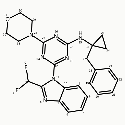 FC(F)c1nc2ccccc2n1-c1nc(NC2(Cc3ccccc3)CC2)nc(N2CCOCC2)n1